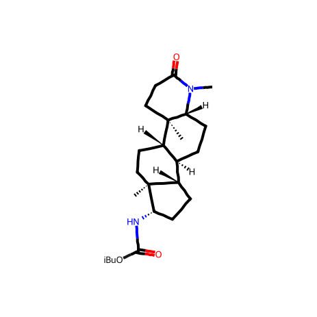 CC(C)COC(=O)N[C@H]1CC[C@H]2[C@@H]3CC[C@H]4N(C)C(=O)CC[C@]4(C)[C@H]3CC[C@]12C